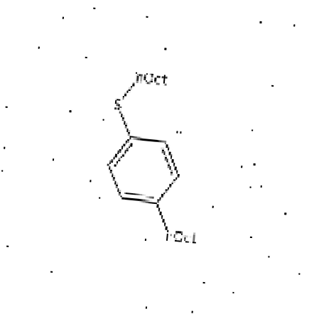 CCCCCCCCSc1ccc(CCCCCCCC)cc1